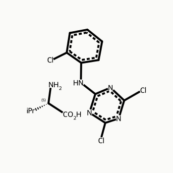 CC(C)[C@H](N)C(=O)O.Clc1nc(Cl)nc(Nc2ccccc2Cl)n1